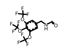 O=[C]NCc1cc(OC(F)(F)F)c(OC(F)(F)F)c(OC(F)(F)F)c1